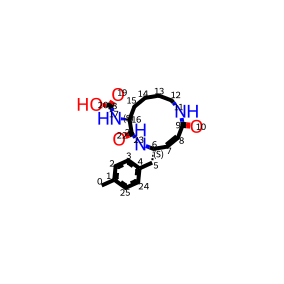 Cc1ccc(C[C@H]2C=CC(=O)NCCCC[C@H](NC(=O)O)C(=O)N2)cc1